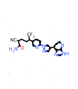 N#CC(CCC(c1ccc(-n2cc(-c3ccnc4[nH]cnc34)cn2)nc1)C(F)(F)F)C(N)=O